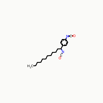 CCCCCCCCCCCC(N=C=O)c1ccc(N=C=O)cc1